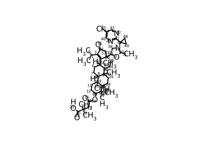 CC(C)C1=C2[C@H]3CC[C@@H]4[C@@]5(C)CC[C@H](OC(=O)CC(C)(C)C(=O)O)C(C)(C)[C@@H]5CC[C@@]4(C)[C@]3(C)CC[C@@]2([C@H]2CN(C3(c4ncc(Cl)cn4)CC3)C(C)O2)CC1=O